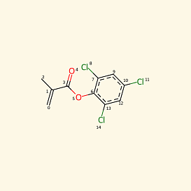 C=C(C)C(=O)Oc1c(Cl)cc(Cl)cc1Cl